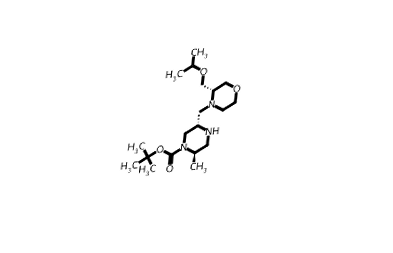 CC(C)OC[C@@H]1COCCN1C[C@H]1CN(C(=O)OC(C)(C)C)[C@H](C)CN1